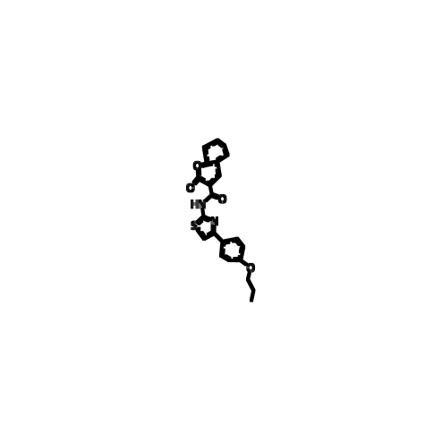 CCCOc1ccc(-c2csc(NC(=O)c3cc4ccccc4oc3=O)n2)cc1